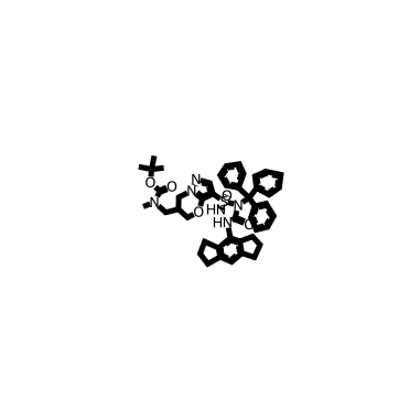 CN(CC1COc2c(S(=N)(=O)N(C(=O)Nc3c4c(cc5c3CCC5)CCC4)C(c3ccccc3)(c3ccccc3)c3ccccc3)cnn2C1)C(=O)OC(C)(C)C